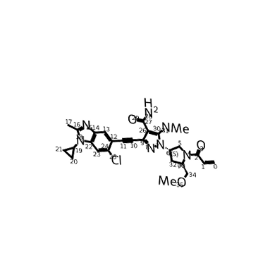 C=CC(=O)N1C[C@@H](n2nc(C#Cc3cc4nc(C)n(C5CC5)c4cc3Cl)c(C(N)=O)c2NC)C[C@@H]1COC